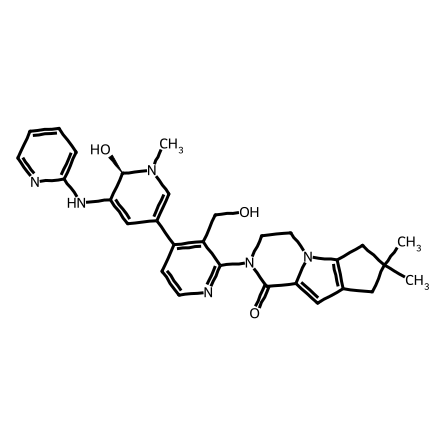 CN1C=C(c2ccnc(N3CCn4c(cc5c4CC(C)(C)C5)C3=O)c2CO)C=C(Nc2ccccn2)[C@H]1O